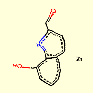 O=Cc1ccc2cccc(O)c2n1.[Zn]